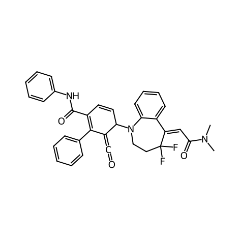 CN(C)C(=O)C=C1c2ccccc2N(C2C=CC(C(=O)Nc3ccccc3)=C(c3ccccc3)C2=C=O)CCC1(F)F